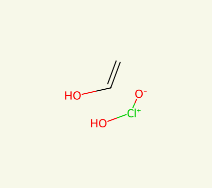 C=CO.[O-][Cl+]O